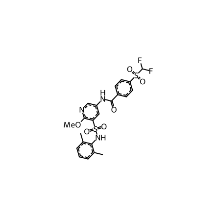 COc1ncc(NC(=O)c2ccc(S(=O)(=O)C(F)F)cc2)cc1S(=O)(=O)Nc1c(C)cccc1C